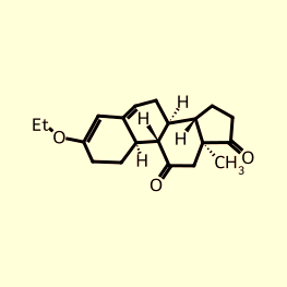 CCOC1=CC2=CC[C@@H]3[C@H](C(=O)C[C@]4(C)C(=O)CC[C@@H]34)[C@H]2CC1